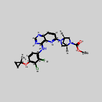 CC(C)(C)OC(=O)N1C[C@@H]2C[C@H]1CN2c1ccc2ncnc(Nc3ccc(OC4(C)CC4)c(Cl)c3F)c2n1